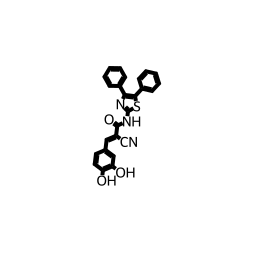 N#C/C(=C\c1ccc(O)c(O)c1)C(=O)Nc1nc(-c2ccccc2)c(-c2ccccc2)s1